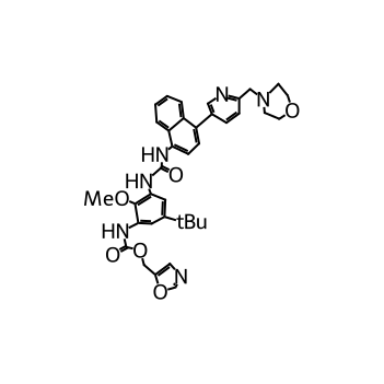 COc1c(NC(=O)Nc2ccc(-c3ccc(CN4CCOCC4)nc3)c3ccccc23)cc(C(C)(C)C)cc1NC(=O)OCc1cnco1